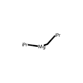 CC(C)[CH2][Mg][CH](C)C